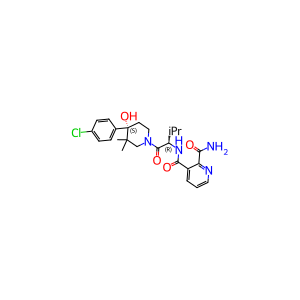 CC(C)[C@@H](NC(=O)c1cccnc1C(N)=O)C(=O)N1CC[C@](O)(c2ccc(Cl)cc2)C(C)(C)C1